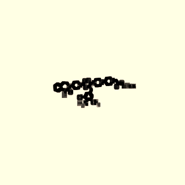 CCCCCCOC(=O)CN1CCC(N2CCN(C(=O)[C@@H](Cc3cc(Cl)c(N)c(C(F)(F)F)c3)OC(=O)N3CCC(N4CCc5ccccc5NC4=O)CC3)CC2)CC1